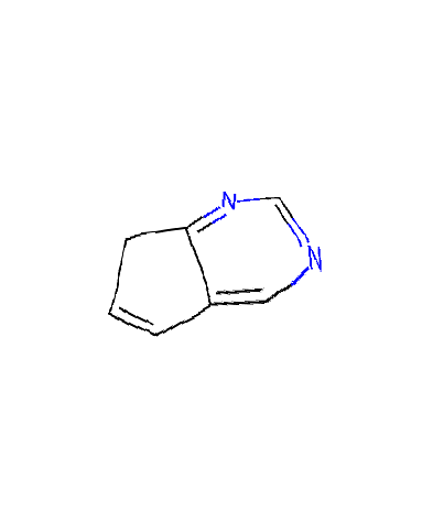 C1=Cc2cncnc2C1